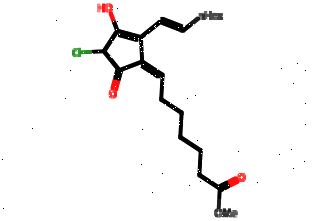 CCCCCCC=CC1=C(O)C(Cl)C(=O)C1=CCCCCCC(=O)OC